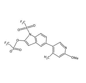 COc1cc(C)c(-c2ccc3c(c2)cc(OS(=O)(=O)C(F)(F)F)n3S(=O)(=O)C(F)(F)F)cn1